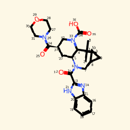 CC(C)(C)C1[C@@H](N(CC2CC2)C(=O)c2nc3ccccc3[nH]2)C[C@@H](C(=O)N2CCOCC2)CN1C(=O)O